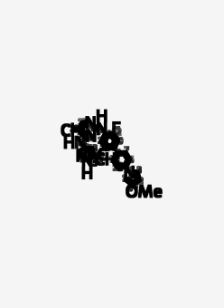 CO[C@H]1CCN([C@H]2CC[C@@H](c3cc(F)c(Nc4ncc(Cl)c(Nc5cc(C)[nH]n5)n4)cc3C)CC2)C1